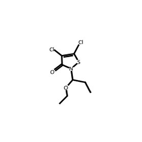 CCOC(CC)n1sc(Cl)c(Cl)c1=O